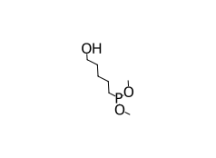 COP(CCCCCO)OC